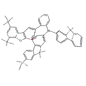 CC(C)(C)c1ccc2c(c1)C(C)(C)c1cc(N(c3ccc4c(c3)C(C)(C)c3ccccc3-4)c3ccccc3-c3ccc4oc5c(C(C)(C)C)cc(C(C)(C)C)cc5c4c3)ccc1-2